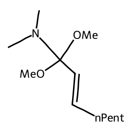 CCCCCC=CC(OC)(OC)N(C)C